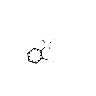 N#Cc1ccccc1[Si](Cl)(Cl)Cl